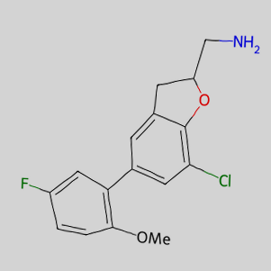 COc1ccc(F)cc1-c1cc(Cl)c2c(c1)CC(CN)O2